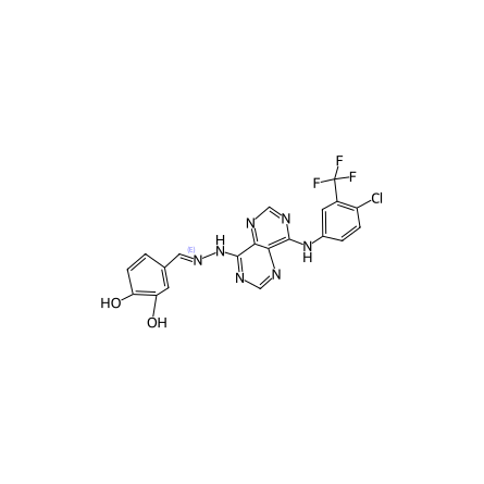 Oc1ccc(/C=N/Nc2ncnc3c(Nc4ccc(Cl)c(C(F)(F)F)c4)ncnc23)cc1O